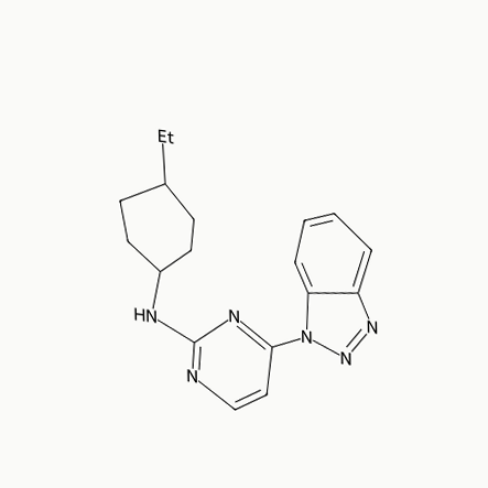 CCC1CCC(Nc2nccc(-n3nnc4ccccc43)n2)CC1